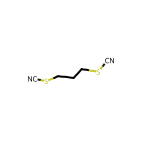 N#CSCCCSC#N